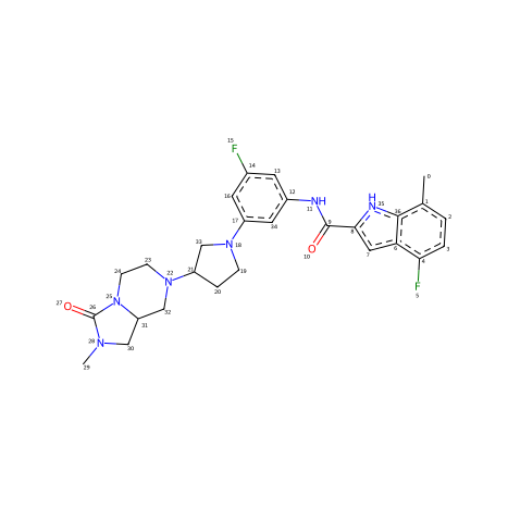 Cc1ccc(F)c2cc(C(=O)Nc3cc(F)cc(N4CCC(N5CCN6C(=O)N(C)CC6C5)C4)c3)[nH]c12